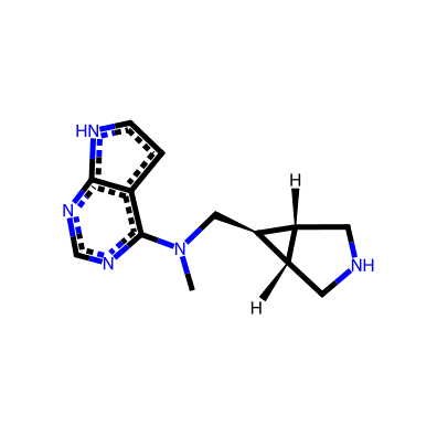 CN(C[C@H]1[C@@H]2CNC[C@@H]21)c1ncnc2[nH]ccc12